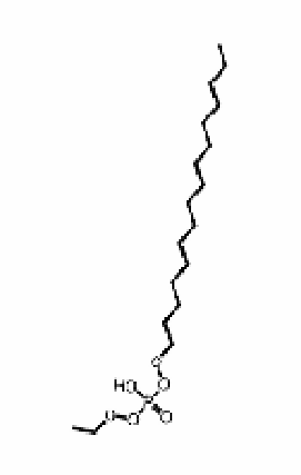 CCCCCCCCCCCCCCCCOOP(=O)(O)OOCC